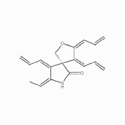 C=C/C=C1\C(=C/C)NC(=O)[C@@]12COC(=C/C=C)/C2=C\C=C